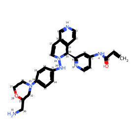 C=CC(=O)Nc1ccnc([C@@H]2c3ccncc3C=CN2Nc2ccc(N3CCOC(CN)C3)cc2)c1